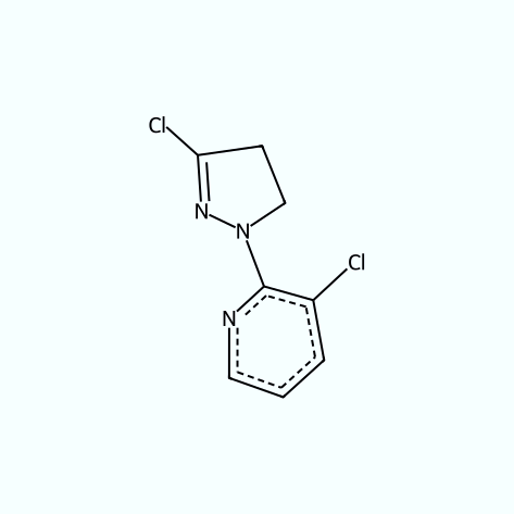 ClC1=NN(c2ncccc2Cl)CC1